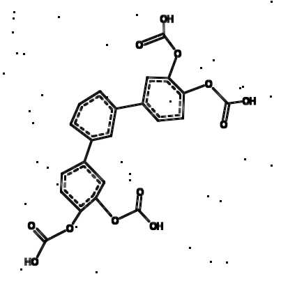 O=C(O)Oc1ccc(-c2cccc(-c3ccc(OC(=O)O)c(OC(=O)O)c3)c2)cc1OC(=O)O